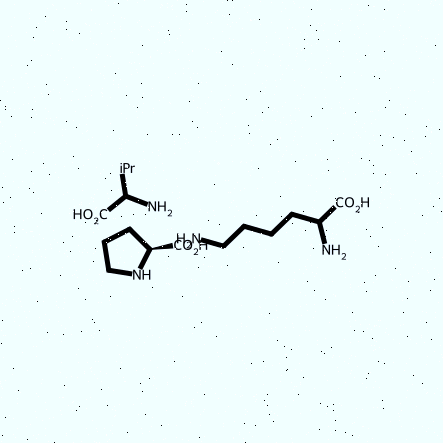 CC(C)C(N)C(=O)O.NCCCCC(N)C(=O)O.O=C(O)[C@@H]1CCCN1